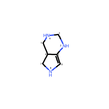 C1=C2NCNCC2CN1